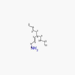 CCCCC(C=CCN)CCCC